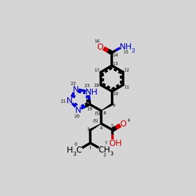 CC(C)C[C@H](C(=O)O)[C@H](Cc1ccc(C(N)=O)cc1)c1nnn[nH]1